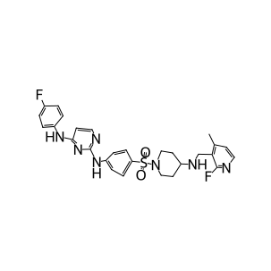 Cc1ccnc(F)c1CNC1CCN(S(=O)(=O)c2ccc(Nc3nccc(Nc4ccc(F)cc4)n3)cc2)CC1